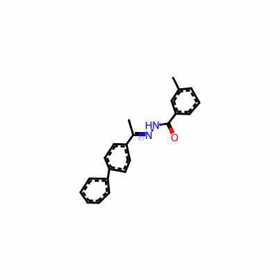 C/C(=N\NC(=O)c1cccc(C)c1)c1ccc(-c2ccccc2)cc1